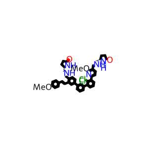 COc1ccc(/C=C/c2cc(-c3cccc(-c4cccc(-c5ccc(CNC[C@@H]6CCC(=O)N6)c(OC)n5)c4Cl)c3Cl)ccc2CNC[C@@H]2CCC(=O)N2)cc1